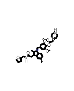 COc1cc(/C=C2/C(C)=C(CC(=O)NCc3ccco3)c3cc(F)ccc32)cc(OC)c1OC(=O)CN1CCNCC1